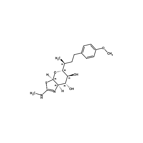 CNC1=N[C@@H]2[C@@H](O)[C@H](O)[C@@H]([C@@H](C)CCc3ccc(OC)cc3)O[C@@H]2S1